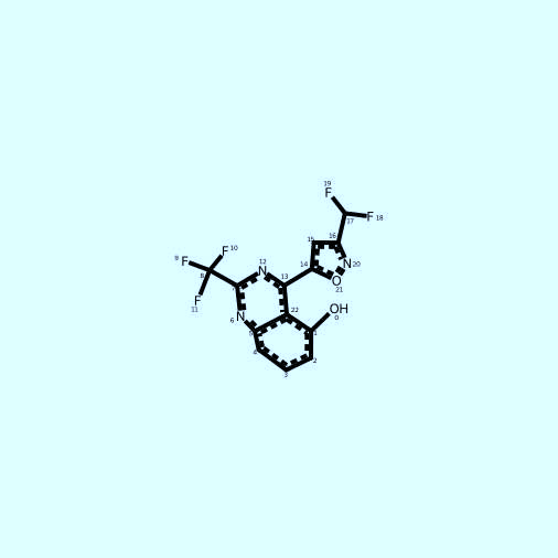 Oc1cccc2nc(C(F)(F)F)nc(-c3cc(C(F)F)no3)c12